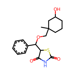 CC1(COC(c2ccccc2)C2SC(=O)NC2=O)CCCC(O)C1